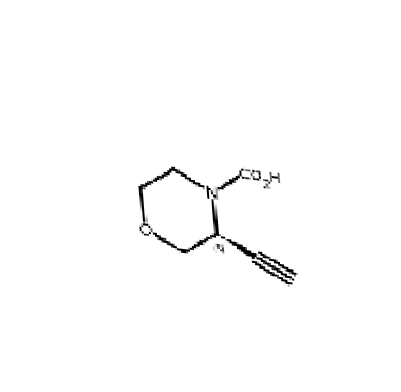 C#C[C@H]1COCCN1C(=O)O